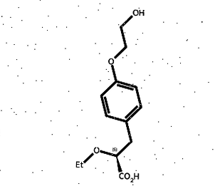 CCO[C@@H](Cc1ccc(OCCO)cc1)C(=O)O